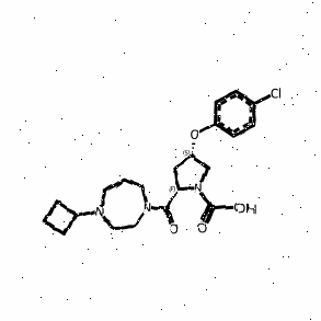 O=C([C@H]1C[C@H](Oc2ccc(Cl)cc2)CN1C(=O)O)N1CCCN(C2CCC2)CC1